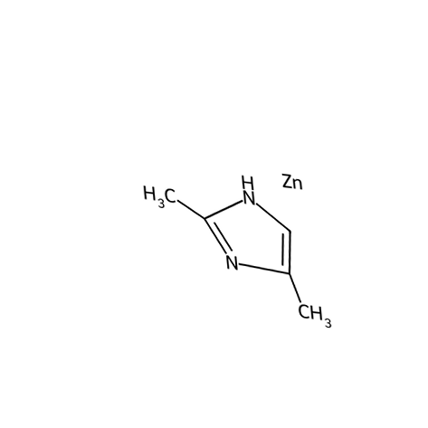 Cc1c[nH]c(C)n1.[Zn]